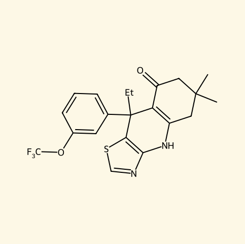 CCC1(c2cccc(OC(F)(F)F)c2)C2=C(CC(C)(C)CC2=O)Nc2ncsc21